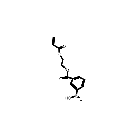 C=CC(=O)OCCOC(=O)c1cccc(B(O)O)c1